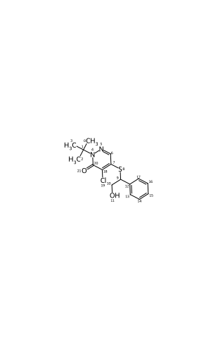 CC(C)(C)n1ncc(SC(CO)c2ccccc2)c(Cl)c1=O